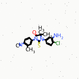 [C-]#[N+]c1ccc(N2C(=O)C(C)(C)N(c3ccc(Cl)c(N)c3)C2=S)cc1C